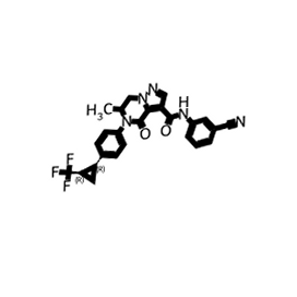 CC1Cn2ncc(C(=O)Nc3cccc(C#N)c3)c2C(=O)N1c1ccc([C@@H]2C[C@H]2C(F)(F)F)cc1